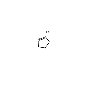 C1=NCCS1.[Fe]